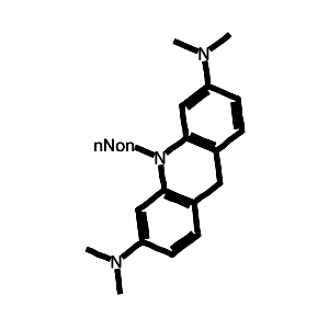 CCCCCCCCCN1c2cc(N(C)C)ccc2Cc2ccc(N(C)C)cc21